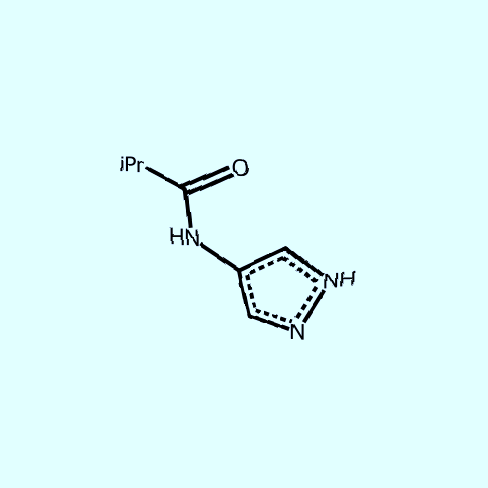 CC(C)C(=O)Nc1cn[nH]c1